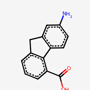 Nc1ccc2c(c1)Cc1cccc(C(=O)O)c1-2